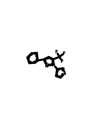 FC(F)(F)c1cc(-c2ccccc2)nn1-c1[c]scc1